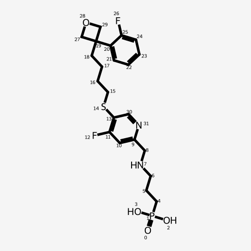 O=P(O)(O)CCCNCc1cc(F)c(SCCCCC2(c3ccccc3F)COC2)cn1